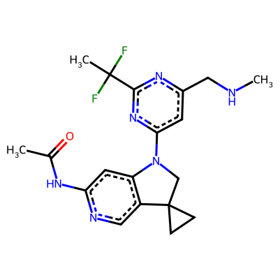 CNCc1cc(N2CC3(CC3)c3cnc(NC(C)=O)cc32)nc(C(C)(F)F)n1